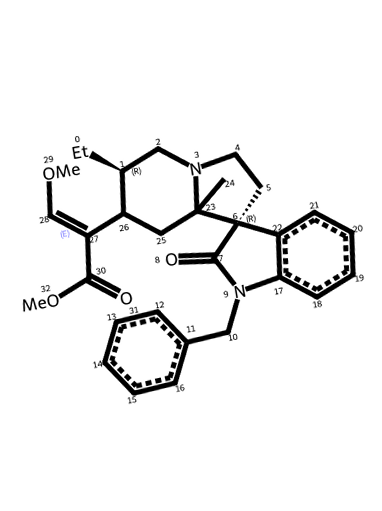 CC[C@H]1CN2CC[C@]3(C(=O)N(Cc4ccccc4)c4ccccc43)C2(C)CC1/C(=C\OC)C(=O)OC